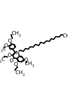 C=CCOc1ccc(-c2c(OCC=C)c(=O)c3c(OCC=C)cc(OC)cc3n2CCCCCCCCCCCCCCCCCC)cc1OC